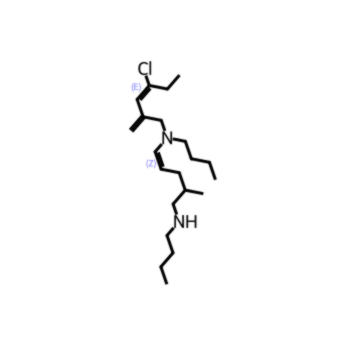 C=C(/C=C(/Cl)CC)CN(/C=C\CC(C)CNCCCC)CCCC